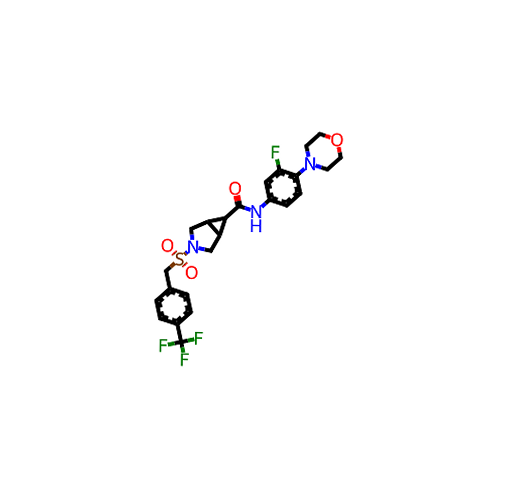 O=C(Nc1ccc(N2CCOCC2)c(F)c1)C1C2CN(S(=O)(=O)Cc3ccc(C(F)(F)F)cc3)CC21